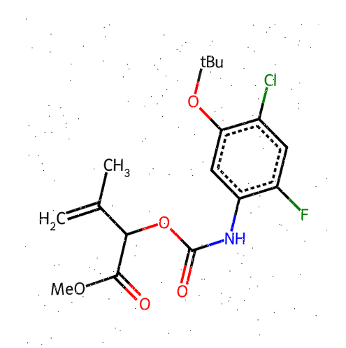 C=C(C)C(OC(=O)Nc1cc(OC(C)(C)C)c(Cl)cc1F)C(=O)OC